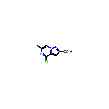 Cc1cn2nc(C(=O)O)cc2c(Cl)n1